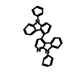 c1ccc(-n2c3ccccc3c3c(-c4ccnc5c4c4ccccc4n5-c4ccccc4)cccc32)cc1